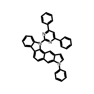 c1ccc(-c2cc(-c3ccccc3)nc(-n3c4ccccc4c4ccc5cc6c(ccn6-c6ccccc6)cc5c43)n2)cc1